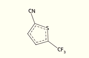 N#Cc1ccc(C(F)(F)F)s1